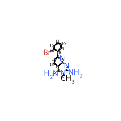 CN1C(N)=Nc2nc(-c3ccccc3Br)ccc2C1N